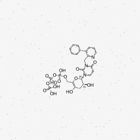 O=c1ccn([C@@H]2OC(COP(=O)(O)OP(=O)(O)OP(=O)(O)O)=C(O)C[C@@H]2O)c(=O)n1Cc1ncccc1-c1ccccc1